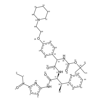 CCC(=O)c1csc(NC(=O)[C@@H](NC(=O)C(NC(=O)OC(C)(C)C)c2ccc(OCCN3CCCCC3)cc2)[C@H](C)c2ccccc2)n1